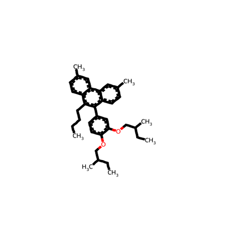 CCCCc1c(-c2ccc(OCC(C)CC)c(OCC(C)CC)c2)c2ccc(C)cc2c2cc(C)ccc12